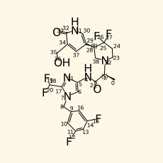 C[C@@H](C(=O)Nc1cn(Cc2cc(F)cc(F)c2)c(C(F)F)n1)N1CCC(F)(F)[C@H](c2c[nH]c(=O)c(CO)c2)C1